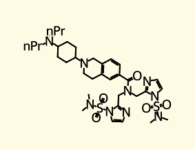 CCCN(CCC)C1CCC(N2CCc3cc(C(=O)N(Cc4nccn4S(=O)(=O)N(C)C)Cc4nccn4S(=O)(=O)N(C)C)ccc3C2)CC1